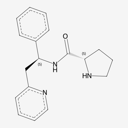 O=C(N[C@@H](Cc1ccccn1)c1ccccc1)[C@@H]1CCCN1